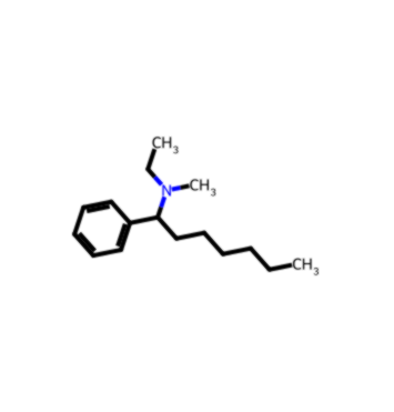 CCCCCCC(c1ccccc1)N(C)CC